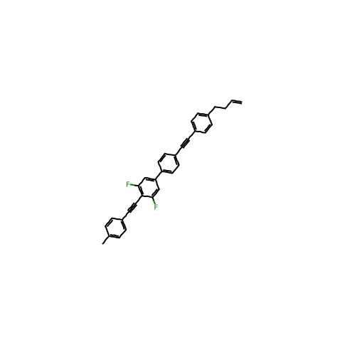 C=CCCc1ccc(C#Cc2ccc(-c3cc(F)c(C#Cc4ccc(C)cc4)c(F)c3)cc2)cc1